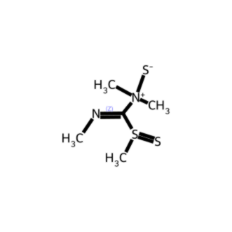 C/N=C(\S(C)=S)[N+](C)(C)[S-]